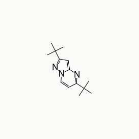 CC(C)(C)c1ccn2nc(C(C)(C)C)cc2n1